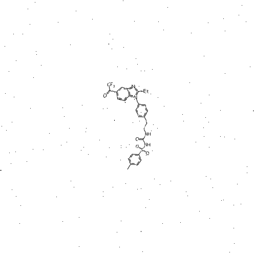 CCc1nc2cc(C(=O)C(F)(F)F)ccc2n1-c1ccc(CCNC(=O)NS(=O)(=O)c2ccc(C)cc2)cc1